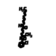 CCCCSCCCNC(=O)CSCc1nc(-c2ccccc2Cl)oc1C